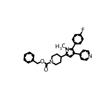 Cn1c(C2CCN(C(=O)OCc3ccccc3)CC2)cc(-c2ccncc2)c1-c1ccc(F)cc1